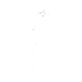 CCCCCCCCCCCCC(C)[N+](C)(C)C.[Cl-]